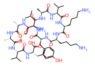 CSCC[C@H](N)C(=O)N[C@@H](C)C(=O)N[C@H](C(=O)N[C@@H](CCCCN)C(=O)N[C@@H](CCCCN)C(=O)N[C@@H](Cc1ccc(O)cc1)C(=O)N[C@@H](CC(C)C)C(=O)N[C@@H](C)C(=O)N[C@@H](C)C(=O)N[C@H](C(=O)N[C@@H](CC(C)C)C(=O)O)C(C)C)C(C)C